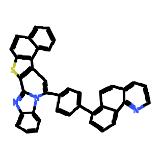 c1ccc2c(c1)ccc1sc3c(cc(-c4ccc(-c5cccc6c5ccc5cccnc56)cc4)n4c5ccccc5nc34)c12